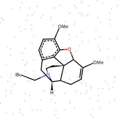 CCC(C)CN1CC[C@@]23c4c5ccc(OC)c4OC2C(OC)=CCC3[C@@H]1C5